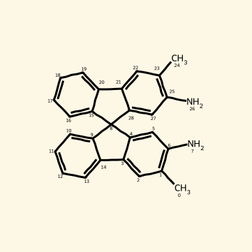 Cc1cc2c(cc1N)C1(c3ccccc3-2)c2ccccc2-c2cc(C)c(N)cc21